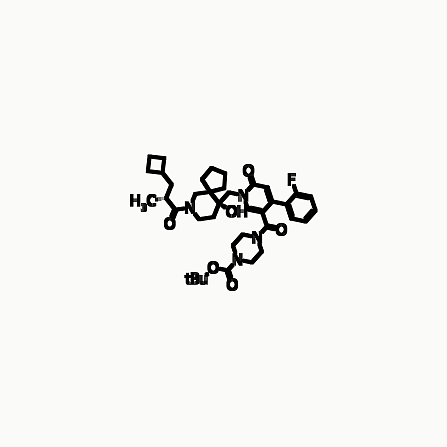 C[C@H](CC1CCC1)C(=O)N1CC[C@@](O)(Cn2cc(C(=O)N3CCN(C(=O)OC(C)(C)C)CC3)c(-c3ccccc3F)cc2=O)C2(CCCC2)C1